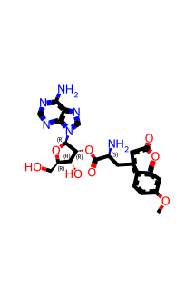 COc1ccc2c(C[C@H](N)C(=O)O[C@@H]3[C@H](O)[C@@H](CO)O[C@H]3n3cnc4c(N)ncnc43)cc(=O)oc2c1